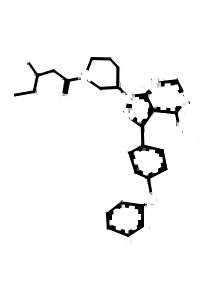 CCC(C)CC(=O)N1CCCC(n2nc(-c3ccc(Oc4ccccc4)cc3)c3c(N)ncnc32)C1